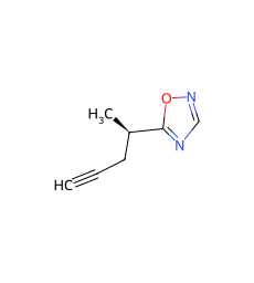 C#CC[C@@H](C)c1ncno1